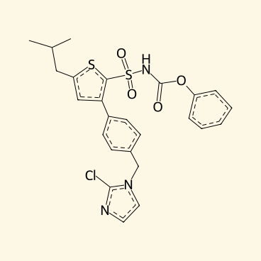 CC(C)Cc1cc(-c2ccc(Cn3ccnc3Cl)cc2)c(S(=O)(=O)NC(=O)Oc2ccccc2)s1